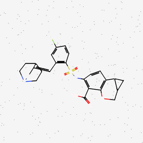 C[C@]12COc3c(ccc(NS(=O)(=O)c4ccc(F)cc4/C=C4/CN5CCC4CC5)c3C(=O)O)[C@H]1C2